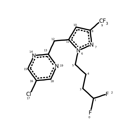 FC(F)CCCn1nc(C(F)(F)F)cc1Cc1ncc(Cl)cn1